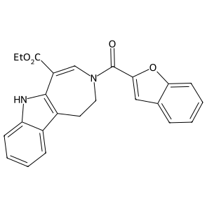 CCOC(=O)C1=CN(C(=O)c2cc3ccccc3o2)CCc2c1[nH]c1ccccc21